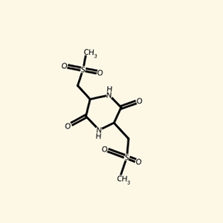 CS(=O)(=O)CC1NC(=O)C(CS(C)(=O)=O)NC1=O